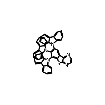 c1ccc2c(c1)c1ccccc1n2-c1cc2c(sc3nccnc32)c(-n2c3ccccc3c3ccccc32)c1-n1c2ccccc2c2ccccc21